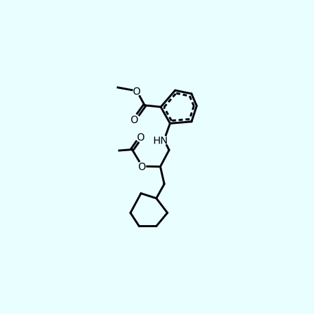 COC(=O)c1ccccc1NCC(CC1CCCCC1)OC(C)=O